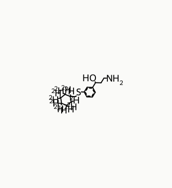 [2H]C1([2H])C([2H])([2H])C([2H])([2H])C([2H])(CSc2cccc(C(O)CCN)c2)C([2H])([2H])C1([2H])[2H]